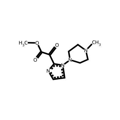 COC(=O)C(=O)c1nccn1N1CCN(C)CC1